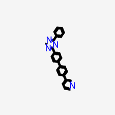 c1ccc(-c2ncnc(-c3ccc(-c4ccc(-c5cccnc5)cc4)cc3)n2)cc1